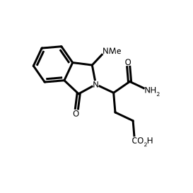 CNC1c2ccccc2C(=O)N1C(CCC(=O)O)C(N)=O